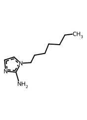 CCCCCCCn1ccnc1N